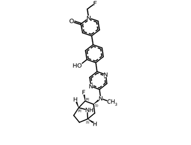 CN(c1cnc(-c2ccc(-c3ccn(CF)c(=O)c3)cc2O)cn1)[C@H]1C[C@@H]2CC[C@@H](N2)[C@H]1F